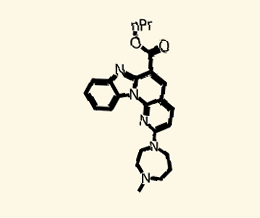 CCCOC(=O)c1cc2ccc(N3CCCN(C)CC3)nc2n2c1nc1ccccc12